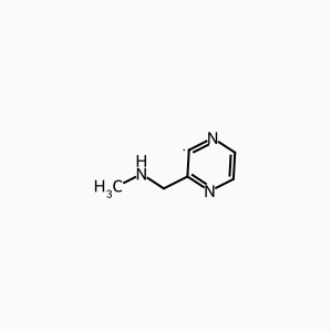 CNCc1[c]nccn1